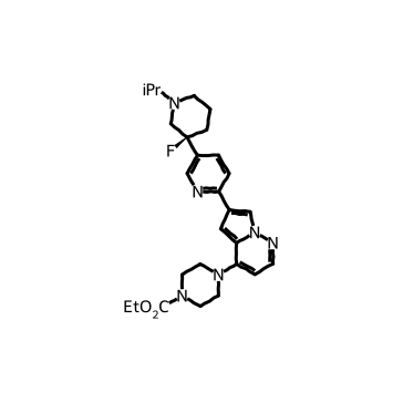 CCOC(=O)N1CCN(c2ccnn3cc(-c4ccc([C@@]5(F)CCCN(C(C)C)C5)cn4)cc23)CC1